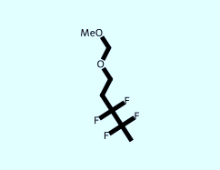 COCOCCC(F)(F)C(C)(F)F